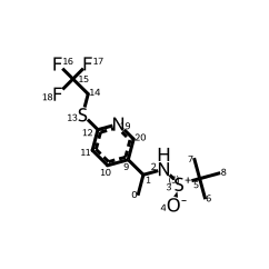 CC(N[S@+]([O-])C(C)(C)C)c1ccc(SCC(F)(F)F)nc1